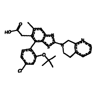 Cc1cc2nc(N3CCc4cccnc4C3)sc2c(-c2ccc(Cl)cc2OC(C)(C)C)c1CC(=O)O